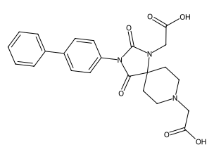 O=C(O)CN1CCC2(CC1)C(=O)N(c1ccc(-c3ccccc3)cc1)C(=O)N2CC(=O)O